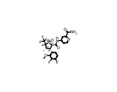 COc1c([C@@H]2[C@H](C)[C@](C)(C(F)(F)F)S(=O)(=O)[C@H]2C(=O)Nc2ccnc(C(N)=O)c2)ccc(F)c1F